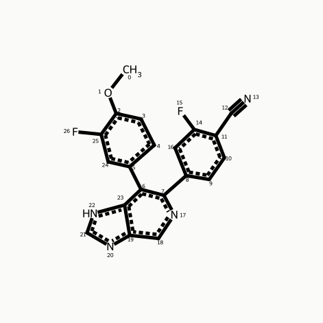 COc1ccc(-c2c(-c3ccc(C#N)c(F)c3)ncc3nc[nH]c23)cc1F